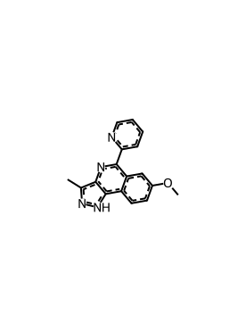 COc1ccc2c(c1)c(-c1ccccn1)nc1c(C)n[nH]c12